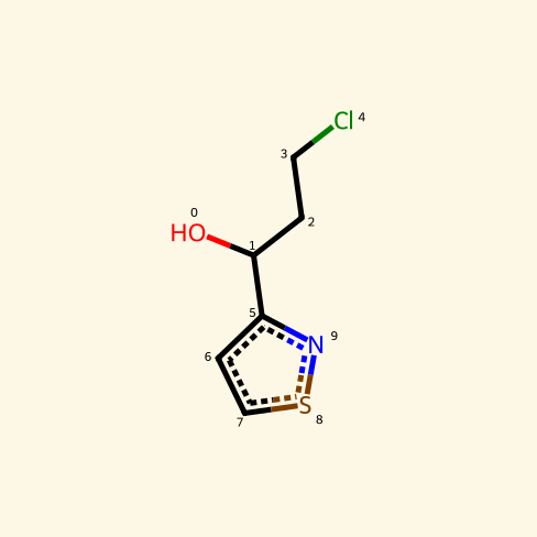 OC(CCCl)c1ccsn1